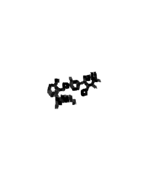 CN/C(C)=C(/Cl)C(=N)c1ccc(OCc2c(F)cccc2N(C)N)c(C)c1